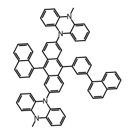 CN1c2ccccc2N(c2ccc3c(-c4cccc5ccccc45)c4cc(N5c6ccccc6N(C)c6ccccc65)ccc4c(-c4cccc(-c5cccc6ccccc56)c4)c3c2)c2ccccc21